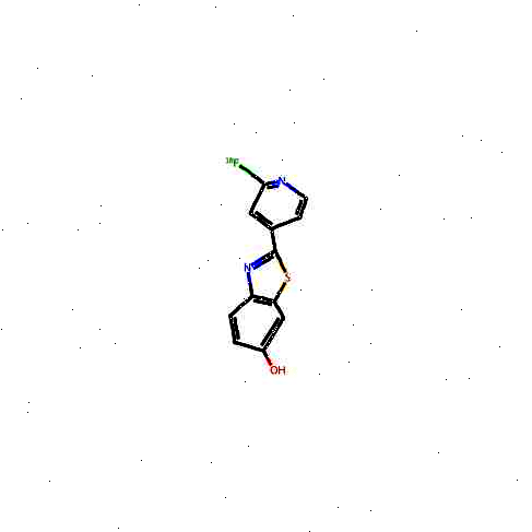 Oc1ccc2nc(-c3ccnc([18F])c3)sc2c1